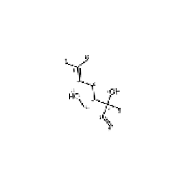 C=CC(C)(O)CCC=C(C)C.CO